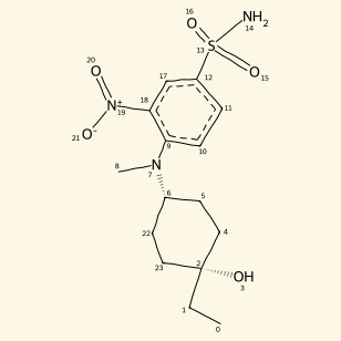 CC[C@]1(O)CC[C@@H](N(C)c2ccc(S(N)(=O)=O)cc2[N+](=O)[O-])CC1